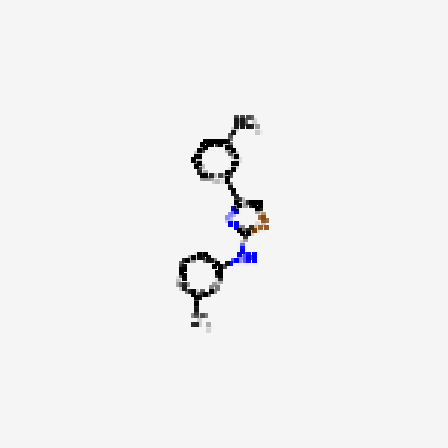 Cc1c(-c2csc(Nc3cccc(C(F)(F)F)c3)n2)cccc1[N+](=O)[O-]